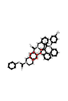 O=C(Oc1ccccc1)N1CCc2cc(-n3nc(C(=O)N(c4ccccc4)c4ccc(O)cc4)c4ccccc43)c(C(=O)N3Cc4ccccc4C[C@H]3CN3CCOCC3)cc2C1